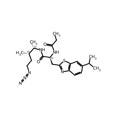 CCC(=O)N[C@@H](Cc1nc2ccc(C(C)C)cc2s1)C(=O)N[C@@H](C)[C@@H](C)CCN=[N+]=[N-]